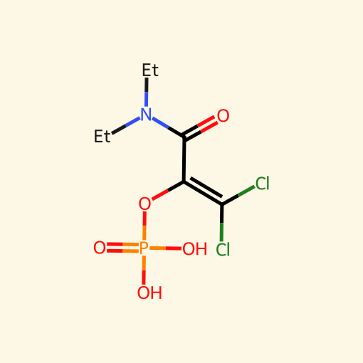 CCN(CC)C(=O)C(OP(=O)(O)O)=C(Cl)Cl